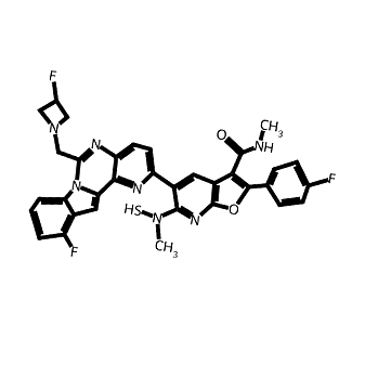 CNC(=O)c1c(-c2ccc(F)cc2)oc2nc(N(C)S)c(-c3ccc4nc(CN5CC(F)C5)n5c6cccc(F)c6cc5c4n3)cc12